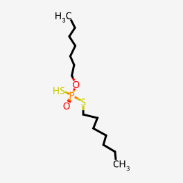 CCCCCCCOP(=O)(S)SCCCCCCC